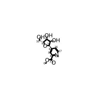 COC(=O)c1cc([C@H]2O[C@H](CO)[C@@H](O)[C@H]2O)ccn1